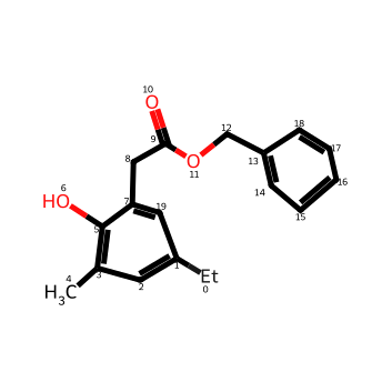 CCc1cc(C)c(O)c(CC(=O)OCc2ccccc2)c1